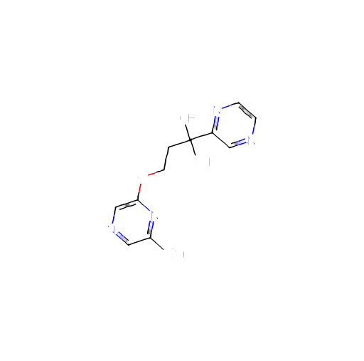 CC(C)(C)c1cncc(OCCC(C)(C)c2cnccn2)n1